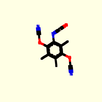 Cc1c(C)c(OC#N)c(N=C=O)c(C)c1OC#N